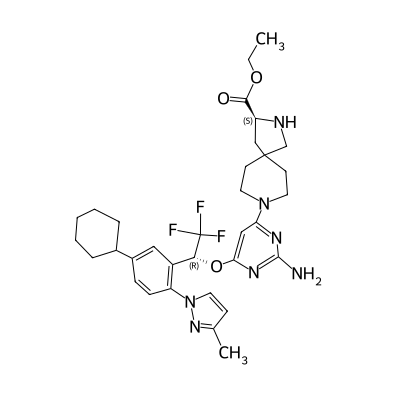 CCOC(=O)[C@@H]1CC2(CCN(c3cc(O[C@H](c4cc(C5CCCCC5)ccc4-n4ccc(C)n4)C(F)(F)F)nc(N)n3)CC2)CN1